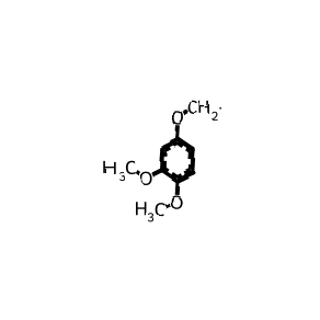 [CH2]Oc1ccc(OC)c(OC)c1